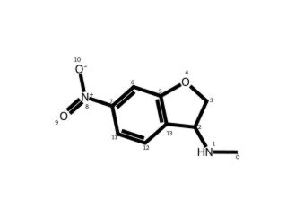 CNC1COc2cc([N+](=O)[O-])ccc21